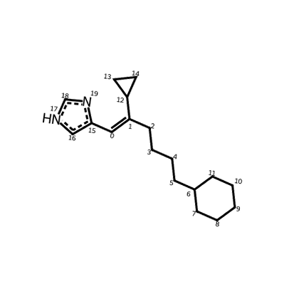 C(=C(CCCCC1CCCCC1)C1CC1)c1c[nH]cn1